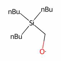 CCCC[Si](C[O])(CCCC)CCCC